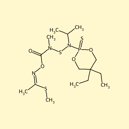 CCC1(CC)COP(=S)(N(SN(C)C(=O)ON=C(C)SC)C(C)C)OC1